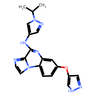 CC(C)n1cc(Nc2nc3cc(Oc4cn[nH]c4)ccc3n3ccnc23)cn1